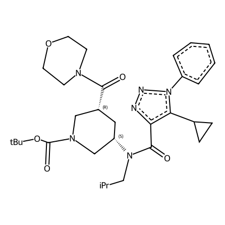 CC(C)CN(C(=O)c1nnn(-c2ccccc2)c1C1CC1)[C@H]1C[C@@H](C(=O)N2CCOCC2)CN(C(=O)OC(C)(C)C)C1